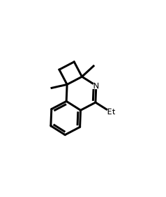 CCC1=NC2(C)CCC2(C)c2ccccc21